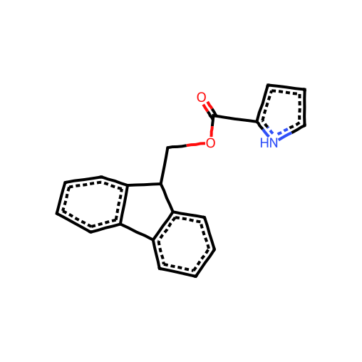 O=C(OCC1c2ccccc2-c2ccccc21)c1ccc[nH]1